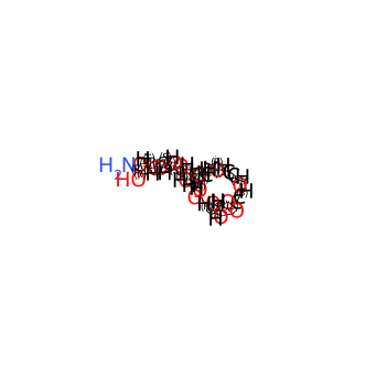 C=C1C[C@@H]2CC[C@]34CC(O3)C3O[C@H]5CC[C@H](CC(=O)O[C@@H]6[C@@H](C)[C@@H]7O[C@@H]8C[C@]9(C[C@@H]%10O[C@]%11(C[C@H](C)[C@@H]%12O[C@H](CN)[C@H](O)C[C@@H]%12O%11)C[C@H](C)[C@@H]%10O9)O[C@@H]8C[C@@H]7O[C@H]6C[C@H]6O[C@@H](CC[C@@H]1O2)C[C@@H](C)C6=C)O[C@@H]5[C@H](O4)C3C